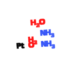 N.N.O.O.[Pt]